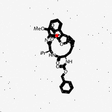 COC(=O)c1nc2oc1[C@@]13c4ccccc4NC1Oc1ccc(cc13)C[C@H](NC(=O)OCc1ccccc1)C(=O)N[C@H]2C(C)C